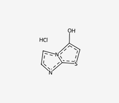 Cl.Oc1csc2nccn12